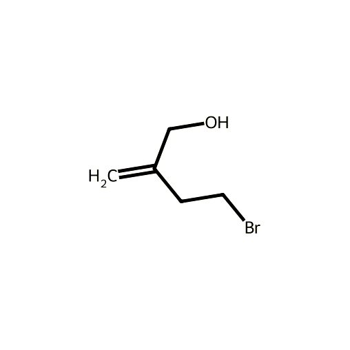 C=C(CO)CCBr